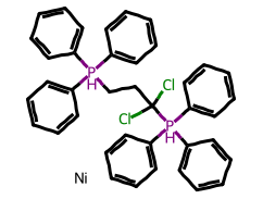 ClC(Cl)(CC[PH](c1ccccc1)(c1ccccc1)c1ccccc1)[PH](c1ccccc1)(c1ccccc1)c1ccccc1.[Ni]